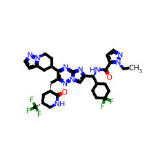 CCn1nccc1C(=O)N[C@H](c1cn2nc(C[C@H]3C[C@@H](C(F)(F)F)CNC3=O)c(C3CCn4nccc4C3)nc2n1)C1CCC(F)(F)CC1